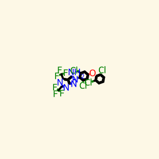 Nc1c2c(C(F)(F)F)nc(C(F)(F)F)nc2nn1-c1c(Cl)cc(Oc2c(Cl)cccc2Cl)cc1Cl